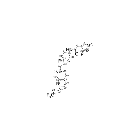 Cn1cc(CC(=O)NC2CCC(F)(CCN3CCc4ccc(CCC(F)(F)F)nc4CC3)CC2)c(F)n1